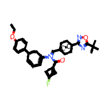 CCOc1ccc(-c2cccc(N(CC34CCC(c5noc(C(C)(C)C)n5)(CC3)CC4)C(=O)C34CC(F)(C3)C4)c2)cc1